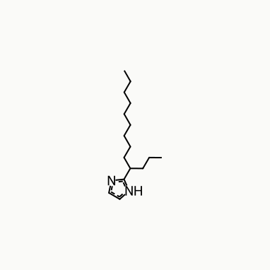 CCCCCCCCCC(CCC)c1ncc[nH]1